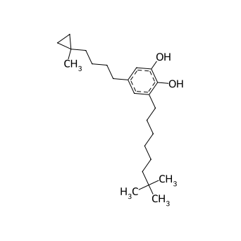 CC(C)(C)CCCCCCc1cc(CCCCC2(C)CC2)cc(O)c1O